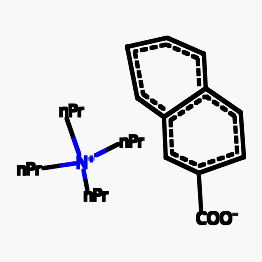 CCC[N+](CCC)(CCC)CCC.O=C([O-])c1ccc2ccccc2c1